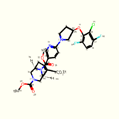 CCOC(=O)C1=C(c2ccc(N3CC[C@@H](Oc4c(F)ccc(F)c4Cl)C3)nc2)C[C@@H]2CN(C(=O)OC(C)(C)C)C[C@H]1N2C(=O)OC(C)(C)C